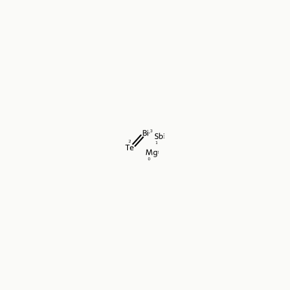 [Mg].[Sb].[Te]=[Bi]